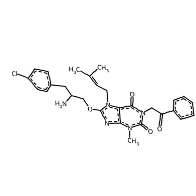 CC(C)=CCn1c(OCC(N)Cc2ccc(Cl)cc2)nc2c1c(=O)n(CC(=O)c1ccccc1)c(=O)n2C